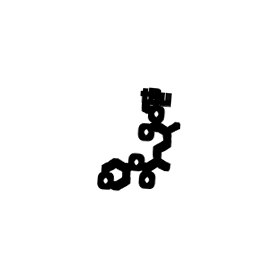 CC(CC[C@H](C)C(=O)OCC(C)(C)C)C(=O)OC1CCOCC1